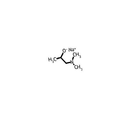 CC([O-])CN(C)C.[Na+]